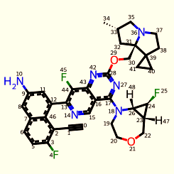 C#Cc1c(F)ccc2cc(N)cc(-c3ncc4c(N5CCOC[C@H]6[C@H](F)[C@H]65)nc(OC[C@@]56C[C@H](C)CN5CCC65CC5)nc4c3F)c12